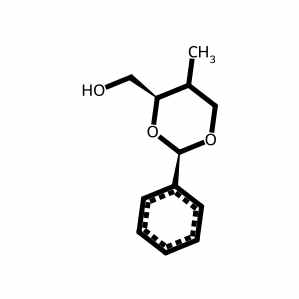 CC1CO[C@@H](c2ccccc2)O[C@H]1CO